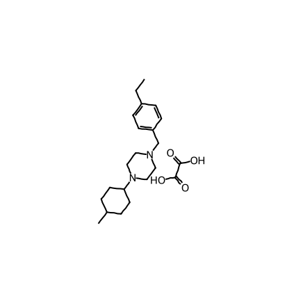 CCc1ccc(CN2CCN(C3CCC(C)CC3)CC2)cc1.O=C(O)C(=O)O